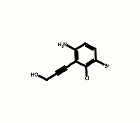 Nc1ccc(Br)c(Cl)c1C#CCO